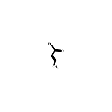 [CH2]CC(=O)C=CC